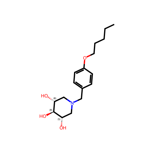 CCCCCOc1ccc(CN2C[C@@H](O)[C@H](O)[C@@H](O)C2)cc1